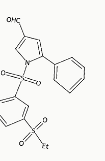 CCS(=O)(=O)c1cccc(S(=O)(=O)n2cc(C=O)cc2-c2ccccc2)c1